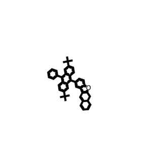 CC(C)(C)c1ccc2c(-c3ccc4oc5c(c4c3)C=C3C=CC=CC3C5)c3cc(C(C)(C)C)ccc3c(-c3ccccc3)c2c1